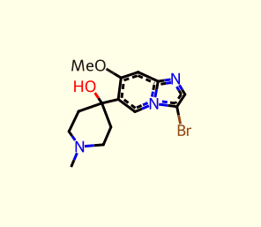 COc1cc2ncc(Br)n2cc1C1(O)CCN(C)CC1